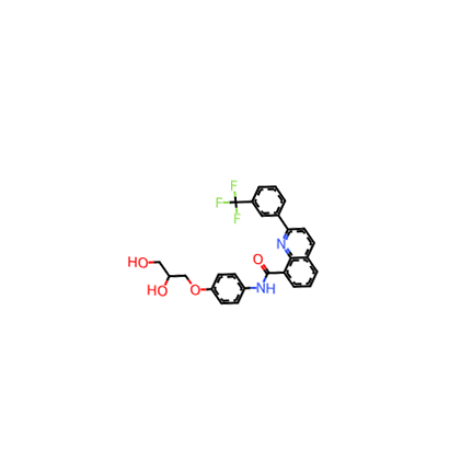 O=C(Nc1ccc(OCC(O)CO)cc1)c1cccc2ccc(-c3cccc(C(F)(F)F)c3)nc12